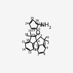 CC1(C)CC2(c3ccccc31)c1ccccc1C(C)(C)C2Oc1ccccc1N